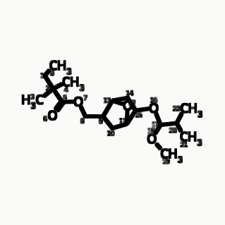 CCC(C)(C)C(=O)OCC1CC2OC1CC2OC(OC)C(C)C